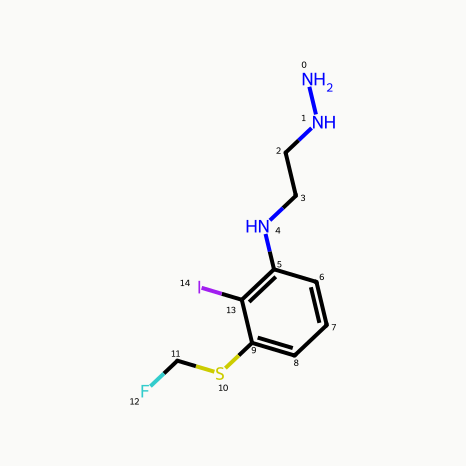 NNCCNc1cccc(SCF)c1I